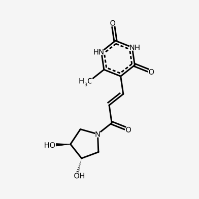 Cc1[nH]c(=O)[nH]c(=O)c1/C=C/C(=O)N1C[C@H](O)[C@@H](O)C1